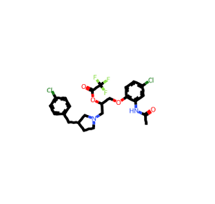 CC(=O)Nc1cc(Cl)ccc1OCC(CN1CCC(Cc2ccc(Cl)cc2)C1)OC(=O)C(F)(F)F